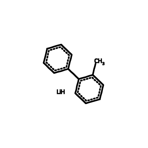 Cc1ccccc1-c1ccccc1.[LiH]